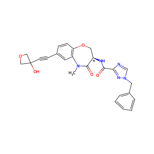 CN1C(=O)[C@H](NC(=O)c2ncn(Cc3ccccc3)n2)COc2ccc(C#CC3(O)COC3)cc21